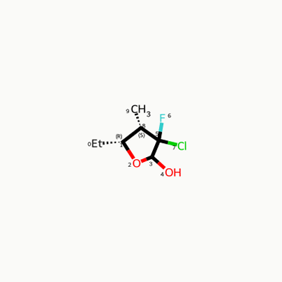 CC[C@H]1OC(O)C(F)(Cl)[C@H]1C